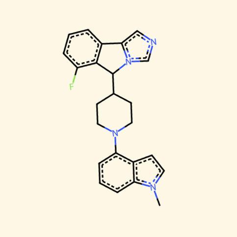 Cn1ccc2c(N3CCC(C4c5c(F)cccc5-c5cncn54)CC3)cccc21